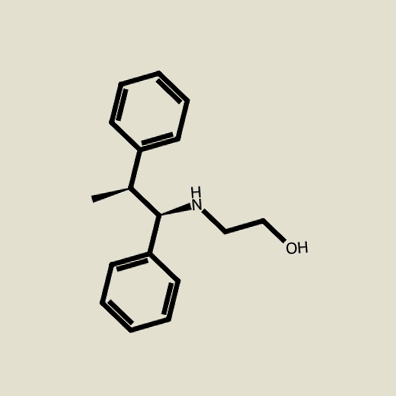 C[C@@H](c1ccccc1)[C@@H](NCCO)c1ccccc1